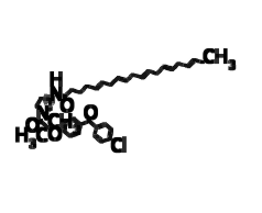 CCC=CCC=CCC=CCC=CCC=CCCCC(=O)N[C@H]1CCN(C(=O)C(C)(C)Oc2ccc(C(=O)c3ccc(Cl)cc3)cc2)C1